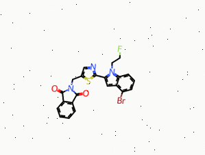 O=C1c2ccccc2C(=O)N1Cc1cnc(-c2cc3c(Br)cccc3n2CCF)s1